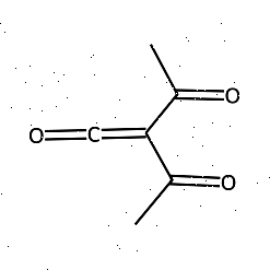 CC(=O)C(=C=O)C(C)=O